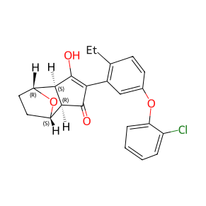 CCc1ccc(Oc2ccccc2Cl)cc1C1=C(O)[C@H]2[C@@H](C1=O)[C@@H]1CC[C@H]2O1